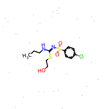 CCCNC(=NS(=O)(=O)c1ccc(Cl)cc1)SCCO